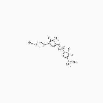 CCCC1CCC(c2ccc(OC(F)(F)c3ccc(C(C)O)c(F)c3F)c(C(F)(F)F)c2F)CC1